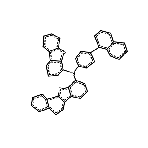 c1ccc2c(-c3ccc(N(c4cccc5c4sc4ccccc45)c4cccc5c4sc4c6ccccc6ccc54)cc3)cccc2c1